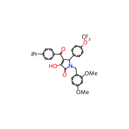 COc1ccc(CN2C(=O)C(O)=C(C(=O)c3ccc(C(C)C)cc3)C2c2ccc(OC(F)(F)F)cc2)c(OC)c1